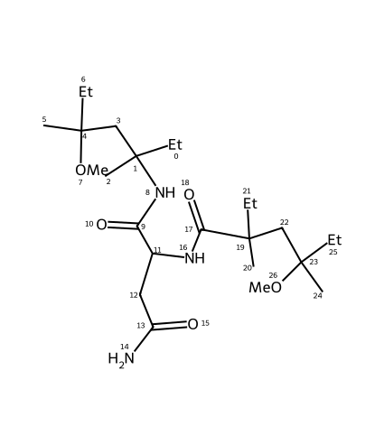 CCC(C)(CC(C)(CC)OC)NC(=O)C(CC(N)=O)NC(=O)C(C)(CC)CC(C)(CC)OC